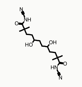 CC(C)(CCC(O)CCC(O)CCC(C)(C)C(=O)NC#N)C(=O)NC#N